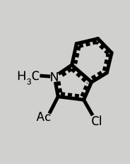 CC(=O)c1c(Cl)c2ccccc2n1C